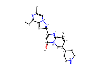 CCc1nc(C)cn2nc(-c3cc(=O)n4cc(C5CCNCC5)cc(C)c4n3)cc12